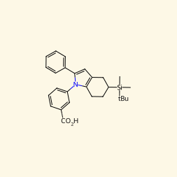 CC(C)(C)[Si](C)(C)C1CCc2c(cc(-c3ccccc3)n2-c2cccc(C(=O)O)c2)C1